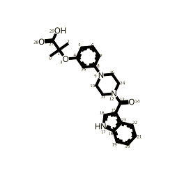 CC(C)(Oc1cccc(N2CCN(C(=O)c3c[nH]c4ccccc34)CC2)c1)C(=O)O